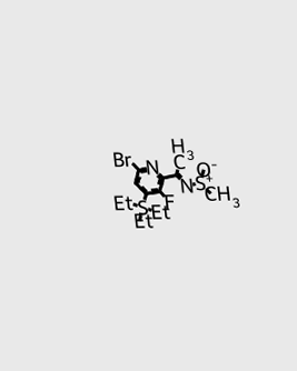 CCS(CC)(CC)c1cc(Br)nc(/C(C)=N/[S+](C)[O-])c1F